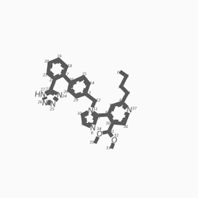 CCCCc1cc(-c2nccn2Cc2ccc(-c3ccccc3-c3nnn[nH]3)cc2)c(C(OC)OC)cn1